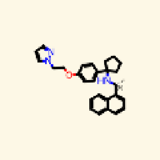 C[C@@H](NC1(c2ccc(OCCn3cccn3)cc2)CCCC1)c1cccc2ccccc12